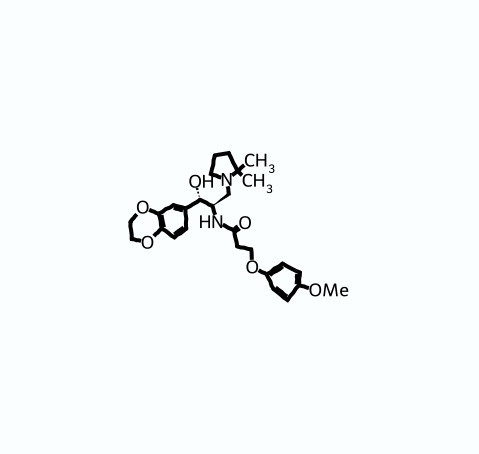 COc1ccc(OCCC(=O)N[C@H](CN2CCCC2(C)C)[C@@H](O)c2ccc3c(c2)OCCO3)cc1